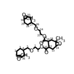 CC12CCC(COCCOC(=O)C3CC4OC4(C)CC3C(=O)OCCOCC3CCC4(C)OC4C3)CC1O2